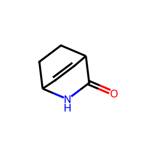 O=C1NC2C=CC1CC2